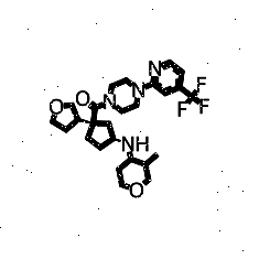 CC1COCCC1N[C@@H]1CC[C@@](C(=O)N2CCN(c3cc(C(F)(F)F)ccn3)CC2)(C2CCOC2)C1